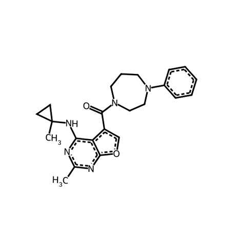 Cc1nc(NC2(C)CC2)c2c(C(=O)N3CCCN(c4ccccc4)CC3)coc2n1